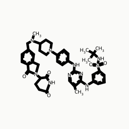 Cc1cnc(Nc2ccc(N3CCC(N(C)Cc4ccc5c(c4)CN(C4CCC(=O)NC4=O)C5=O)CC3)cc2)nc1Nc1cccc(S(=O)(=O)NC(C)(C)C)c1